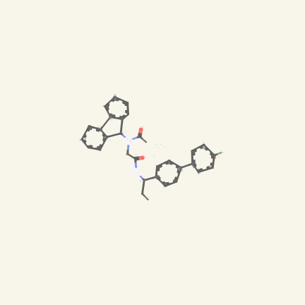 COC(=O)N(CC(=O)NC(CC(=O)O)c1ccc(-c2ccc(Cl)cc2)cc1)C1c2ccccc2-c2ccccc21